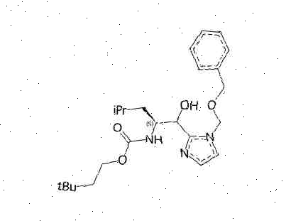 CC(C)C[C@H](NC(=O)OCCC(C)(C)C)C(O)c1nccn1COCc1ccccc1